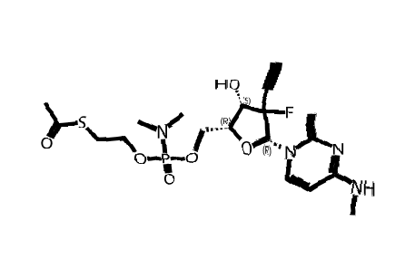 C#CC1(F)[C@@H](O)[C@@H](COP(=O)(OCCSC(C)=O)N(C)C)O[C@H]1N1C=CC(NC)=NC1=C